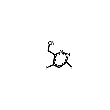 N#CCc1nnc(I)cc1I